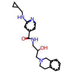 O=C(NCC(O)CN1CCc2ccccc2C1)c1ccnc(NCC2CC2)c1